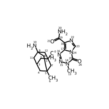 CC12CC3CC(C)(C1)CC(N)(C3)C2.Cn1nnc2c(C(N)=O)ncn2c1=O